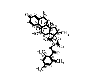 CCC(=O)O[C@]1(C(=O)SCC(=O)c2c(C)cc(C)cc2C)[C@H](C)C[C@H]2[C@@H]3C[C@H](F)C4=CC(=O)C=C[C@]4(C)[C@@]3(F)[C@@H](O)C[C@@]21C